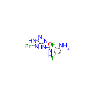 Nc1ccc(F)c(NC(=O)Nc2ncnc3[nH]c(Br)nc23)c1F